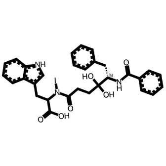 O=C(N[C@@H](Cc1ccccc1)C(O)(O)CCC(=O)N(I)C(Cc1c[nH]c2ccccc12)C(=O)O)c1ccccc1